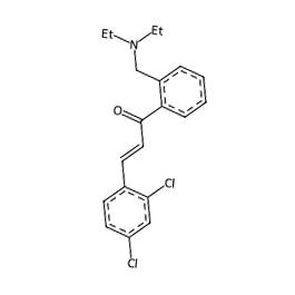 CCN(CC)Cc1ccccc1C(=O)C=Cc1ccc(Cl)cc1Cl